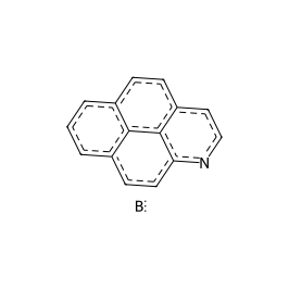 [B].c1cc2ccc3ccnc4ccc(c1)c2c34